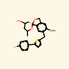 COc1cc2c(cc1Cc1ccc(-c3ccc(F)cc3)s1)[C@]1(CC(O)CC(C)O1)OC2